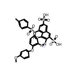 COc1ccc(Oc2ccc(Cl)cc2/N=N\c2c(S(=O)(=O)O)cc3cc(S(=O)(=O)O)cc(NS(=O)(=O)c4ccc(C)cc4)c3c2O)cc1